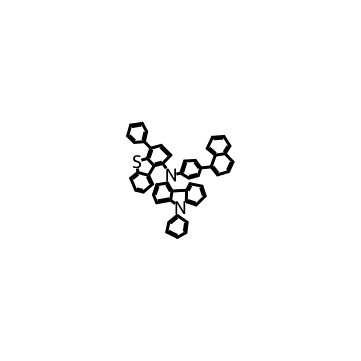 c1ccc(-c2ccc(N(c3ccc(-c4cccc5ccccc45)cc3)c3cccc4c3c3ccccc3n4-c3ccccc3)c3c2sc2ccccc23)cc1